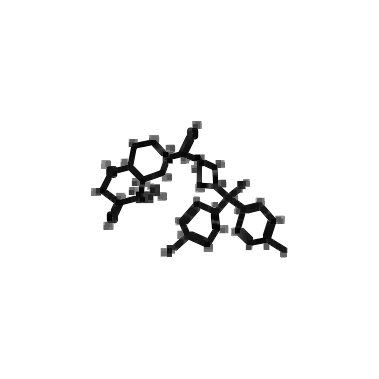 Cc1ccc(C(F)(c2ccc(F)cc2)C2CN(C(=O)N3CCC4OCC(=O)N[C@@H]4C3)C2)cc1